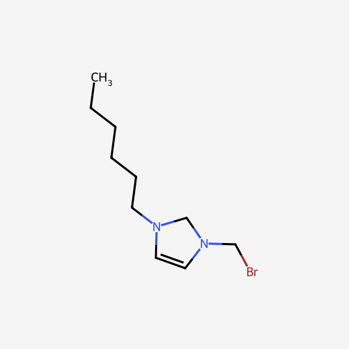 CCCCCCN1C=CN(CBr)C1